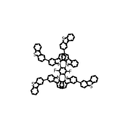 Fc1c(-n2c3ccccc3c3cc(-c4ccc5sc6ccccc6c5c4)ccc32)c(-n2c3ccccc3c3cc(-c4ccc5sc6ccccc6c5c4)ccc32)c(F)c(-n2c3ccccc3c3cc(-c4ccc5sc6ccccc6c5c4)ccc32)c1-n1c2ccccc2c2cc(-c3ccc4sc5ccccc5c4c3)ccc21